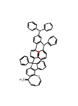 C=C1/C=C\C=C/Oc2c1ccc1c2-c2ccccc2C1(c1ccccc1)c1ccc(-c2ccc(N(c3ccccc3)c3ccccc3)cc2N(c2ccccc2)c2ccccc2)cc1